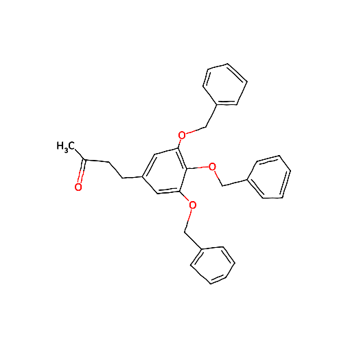 CC(=O)CCc1cc(OCc2ccccc2)c(OCc2ccccc2)c(OCc2ccccc2)c1